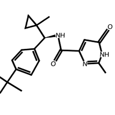 Cc1nc(C(=O)N[C@@H](c2ccc(C(C)(C)C)cc2)C2(C)CC2)cc(=O)[nH]1